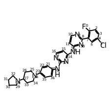 Fc1ccc(Cl)cc1-c1nccc(Nc2ccnc(Nc3ccc(N4CCC(N5CCCC5)CC4)cc3)n2)n1